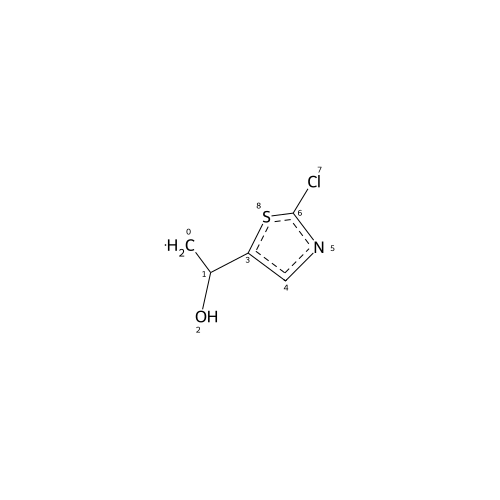 [CH2]C(O)c1cnc(Cl)s1